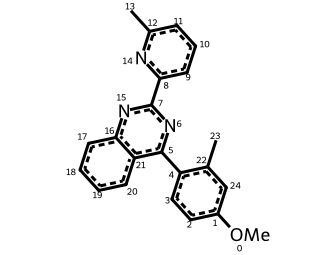 COc1ccc(-c2nc(-c3cccc(C)n3)nc3ccccc23)c(C)c1